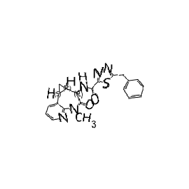 CN1C(=O)[C@H](NC(=O)c2nnc(Cc3ccccc3)s2)[C@@H]2C[C@@H]2c2cccnc21